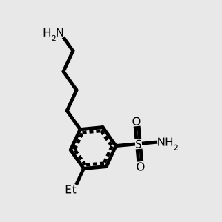 CCc1cc(CCCCN)cc(S(N)(=O)=O)c1